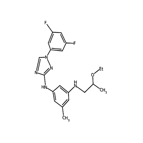 CCOC(C)CNc1cc(C)cc(Nc2ncn(-c3cc(F)cc(F)c3)n2)c1